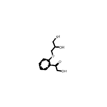 O=C(CO)c1ccccc1OCC(O)CS